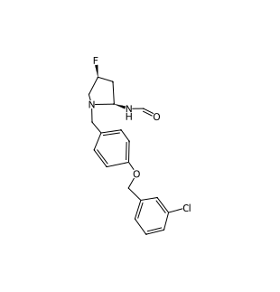 O=CN[C@@H]1C[C@H](F)CN1Cc1ccc(OCc2cccc(Cl)c2)cc1